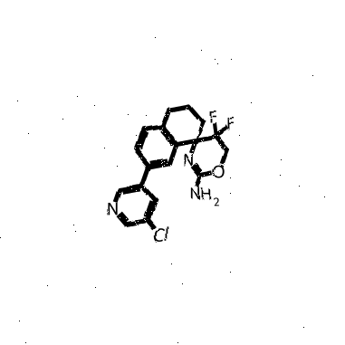 NC1=N[C@@]2(CCCc3ccc(-c4cncc(Cl)c4)cc32)C(F)(F)CO1